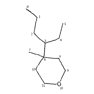 CCCC(CC)C1(C)CCOCC1